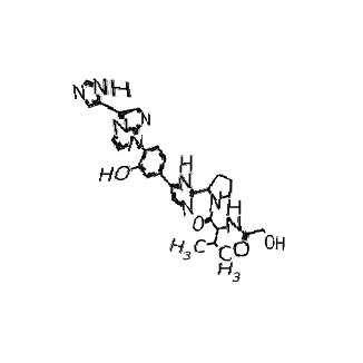 CC(C)[C@H](NC(=O)CO)C(=O)N1CCCC1c1ncc(-c2ccc(-n3ccn4c(-c5cnc[nH]5)cnc34)c(O)c2)[nH]1